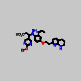 C/C=C\c1cc(OCCc2ccc3c(n2)NCCC3)ccc1N(N)C(CC(=O)O)c1cnc(OCC)nc1